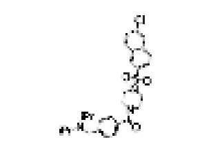 CC(C)N(Cc1ccc(C(=O)N2CCN(S(=O)(=O)c3ccc4cc(Cl)ccc4c3)CC2)cc1)C(C)C